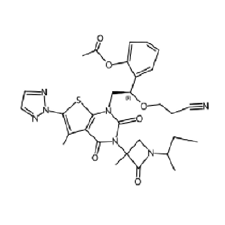 CCC(C)N1CC(C)(n2c(=O)c3c(C)c(-n4nccn4)sc3n(C[C@H](OCCC#N)c3ccccc3OC(C)=O)c2=O)C1=O